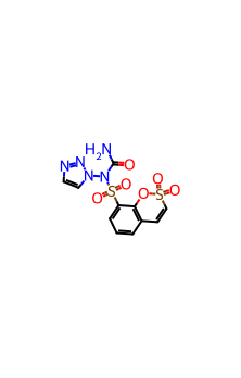 NC(=O)N(n1ccnn1)S(=O)(=O)c1cccc2c1OS(=O)(=O)C=C2